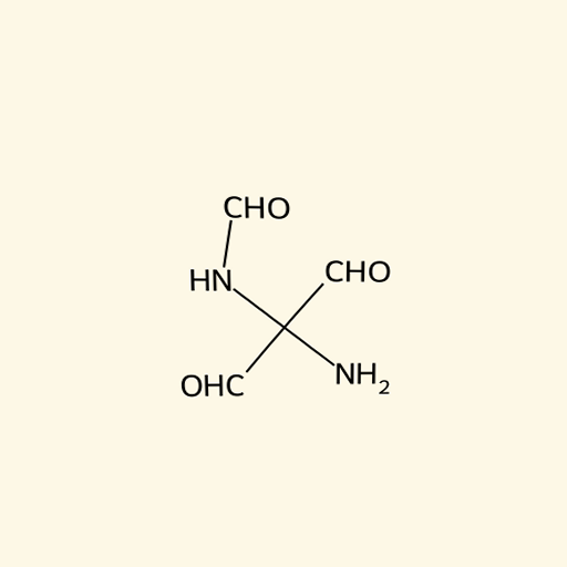 NC(C=O)(C=O)NC=O